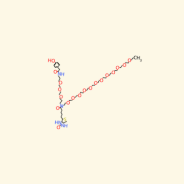 CCCOCCOCCOCCOCCOCCOCCOCCOCCOCCOCCOCCOCCN(CCCOCCOCCOCCCNC(=O)Cc1ccc(O)cc1)C(=O)CCCCC1SCC2NC(=O)NC21